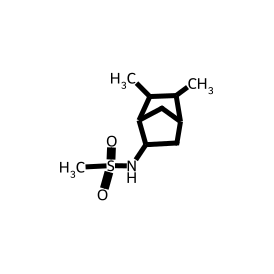 CC1C2CC(NS(C)(=O)=O)C(C2)C1C